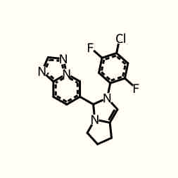 Fc1cc(N2C=C3CCCN3C2c2ccc3ncnn3c2)c(F)cc1Cl